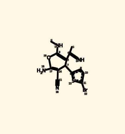 CNC1=C(C(C)=N)C(c2ccc(Br)s2)C(C#N)=C(N)O1